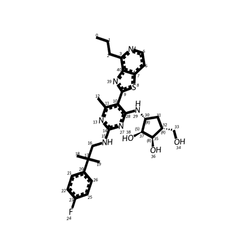 CCCc1nccc2sc(-c3c(C)nc(NCC(C)(C)c4ccc(F)cc4)nc3N[C@@H]3C[C@H](CO)[C@@H](O)[C@H]3O)nc12